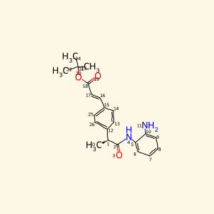 C[C@H](C(=O)Nc1ccccc1N)c1ccc(/C=C/C(=O)OC(C)(C)C)cc1